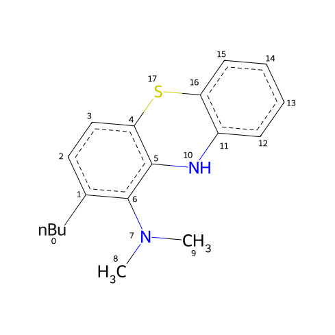 CCCCc1ccc2c(c1N(C)C)Nc1ccccc1S2